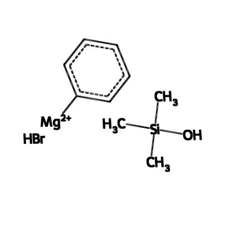 Br.C[Si](C)(C)O.[Mg+2][c]1ccccc1